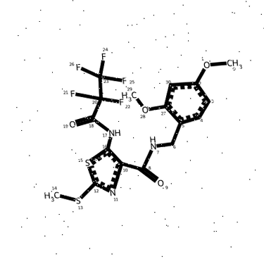 COc1ccc(CNC(=O)c2nc(SC)sc2NC(=O)C(F)(F)C(F)(F)F)c(OC)c1